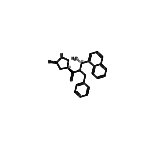 C[C@H](c1cccc2ccccc12)N(Cc1ccccc1)C(=O)[C@@H]1CNC(=O)C1